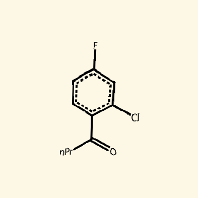 CCCC(=O)c1ccc(F)cc1Cl